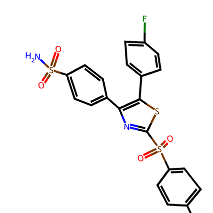 Cc1ccc(S(=O)(=O)c2nc(-c3ccc(S(N)(=O)=O)cc3)c(-c3ccc(F)cc3)s2)cc1